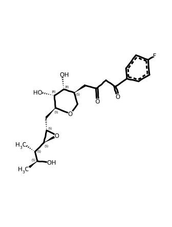 C[C@H]([C@@H]1O[C@H]1C[C@@H]1OC[C@H](CC(=O)CC(=O)c2ccc(F)cc2)[C@@H](O)[C@H]1O)[C@H](C)O